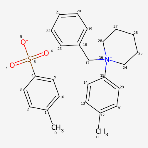 Cc1ccc(S(=O)(=O)[O-])cc1.Cc1ccc([N+]2(Cc3ccccc3)CCCCC2)cc1